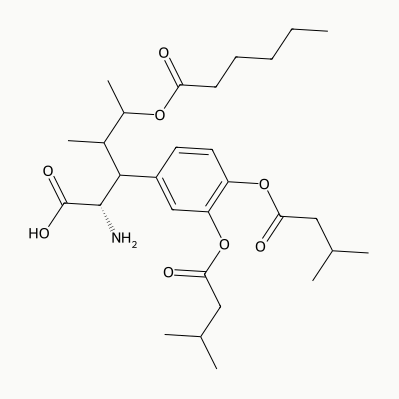 CCCCCC(=O)OC(C)C(C)C(c1ccc(OC(=O)CC(C)C)c(OC(=O)CC(C)C)c1)[C@H](N)C(=O)O